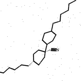 CCCCCCC1CCC([C@]2(C#N)CC[C@@H](CCCCCC)CC2)CC1